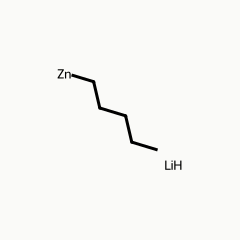 CCCC[CH2][Zn].[LiH]